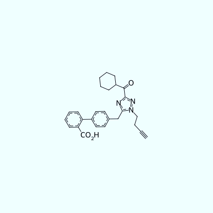 C#CCCn1nc(C(=O)C2CCCCC2)nc1Cc1ccc(-c2ccccc2C(=O)O)cc1